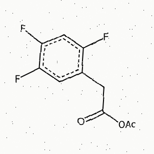 CC(=O)OC(=O)Cc1cc(F)c(F)cc1F